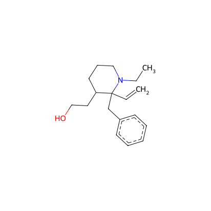 C=CC1(Cc2ccccc2)C(CCO)CCCN1CC